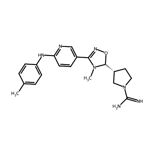 Cc1ccc(Nc2ccc(C3=NOC([C@@H]4CCN(C(=N)N)C4)N3C)cn2)cc1